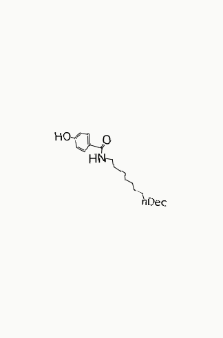 CCCCCCCCCCCCCCCCCNC(=O)c1ccc(O)cc1